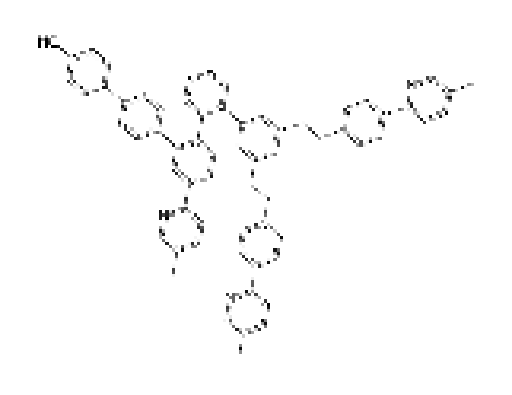 Cc1ccc(-c2ccc(CCc3cc(CCc4ccc(-c5ccc(C)cn5)cc4)cc(-c4ccccc4-c4ccc(-c5ccc(C)cn5)cc4-c4ccc(-c5ccc(C#N)cc5)cc4)c3)cc2)nc1